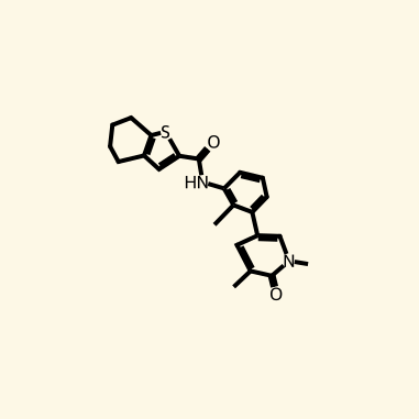 Cc1c(NC(=O)c2cc3c(s2)CCCC3)cccc1-c1cc(C)c(=O)n(C)c1